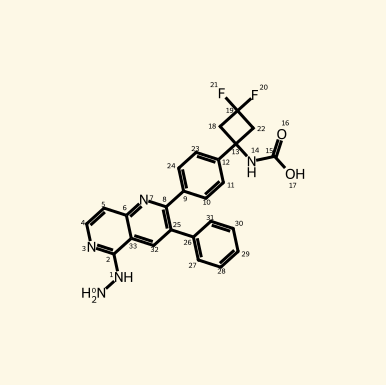 NNc1nccc2nc(-c3ccc(C4(NC(=O)O)CC(F)(F)C4)cc3)c(-c3ccccc3)cc12